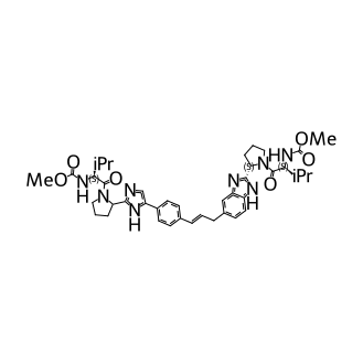 COC(=O)N[C@H](C(=O)N1CCCC1c1ncc(-c2ccc(C=CCc3ccc4[nH]c([C@@H]5CCCN5C(=O)[C@@H](NC(=O)OC)C(C)C)nc4c3)cc2)[nH]1)C(C)C